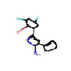 Nc1nnc(-c2cc(F)cc(F)c2O)cc1-c1ccccc1